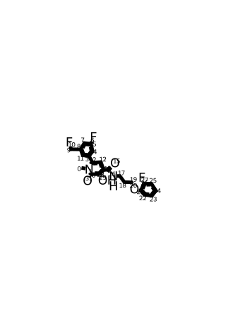 Cn1c(-c2cc(F)cc(CF)c2)cc(C(=O)NCCCOc2ccccc2F)c(O)c1=O